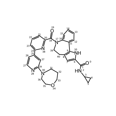 O=C(NC1CC1)c1cc2c([nH]1)-c1ccccc1N(C(=O)c1cccc(-c3ccnc(N4CCCOCC4)c3)n1)CC2